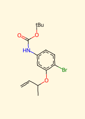 C=CC(C)Oc1cc(NC(=O)OC(C)(C)C)ccc1Br